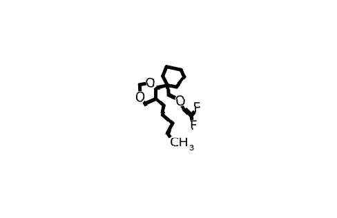 CCCCCC1COCOC1C1(COC=C(F)F)CCCCC1